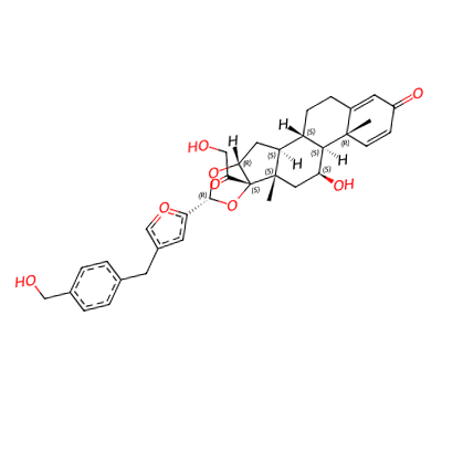 C[C@]12C=CC(=O)C=C1CC[C@@H]1[C@@H]2[C@@H](O)C[C@@]2(C)[C@H]1C[C@H]1O[C@@H](c3cc(Cc4ccc(CO)cc4)co3)O[C@]12C(=O)CO